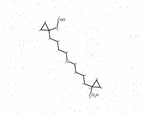 O=COC1(CCCCOCCCCC2(C(=O)O)CC2)CC1